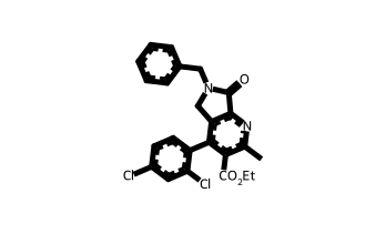 CCOC(=O)c1c(C)nc2c(c1-c1ccc(Cl)cc1Cl)CN(Cc1ccccc1)C2=O